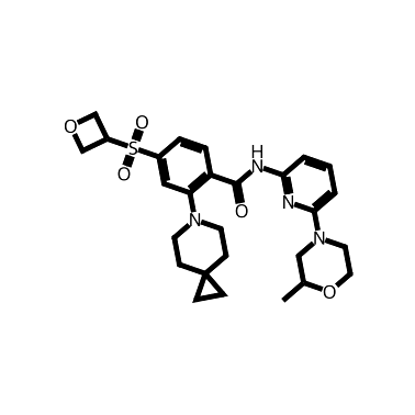 CC1CN(c2cccc(NC(=O)c3ccc(S(=O)(=O)C4COC4)cc3N3CCC4(CC3)CC4)n2)CCO1